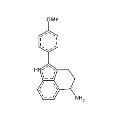 COc1ccc(-c2[nH]c3cccc4c3c2CCC4N)cc1